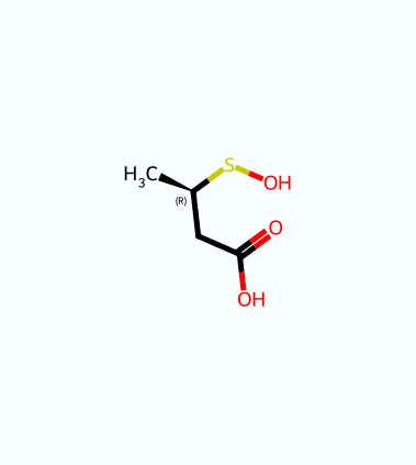 C[C@H](CC(=O)O)SO